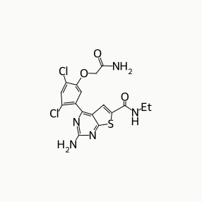 CCNC(=O)c1cc2c(-c3cc(OCC(N)=O)c(Cl)cc3Cl)nc(N)nc2s1